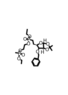 CCOP(C)(=O)OCCOP(=O)(CC[C@H]1O[C@@H]2OC(C)(C)O[C@H]2C1OCc1ccccc1)OCC